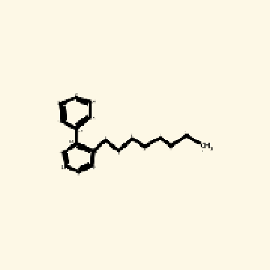 CCCCCCCCc1ccc[c]c1-c1ccccc1